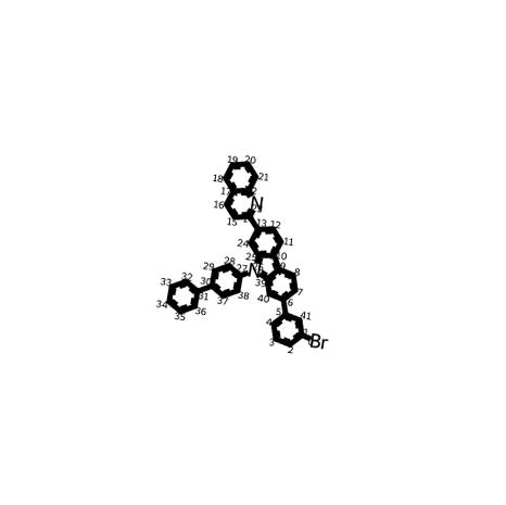 Brc1cccc(-c2ccc3c4ccc(-c5ccc6ccccc6n5)cc4n(-c4ccc(-c5ccccc5)cc4)c3c2)c1